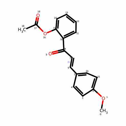 COc1ccc(/C=C/C(=O)c2ccccc2OC(C)=O)cc1